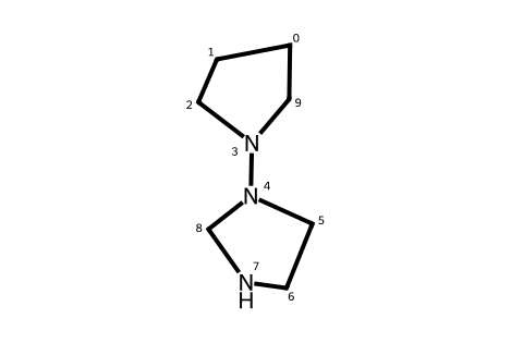 C1CCN(N2CCNC2)C1